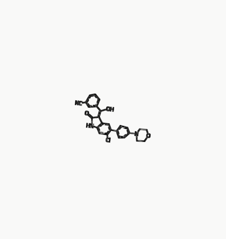 N#Cc1cccc(C(O)=C2C(=O)Nc3cc(Cl)c(-c4ccc(N5CCOCC5)cc4)cc32)c1